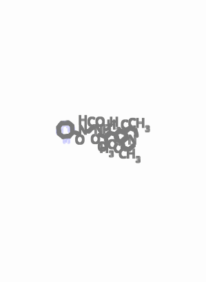 CC1(C)CCN2CCC(C)(C)c3c2c1cc1cc(C(=O)NC(CNC(=O)C2=C/C=C\C=C/C=C\2)C(=O)O)c(=O)oc31